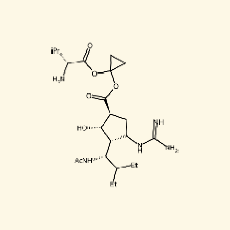 CCC(CC)[C@H](NC(C)=O)[C@H]1C(NC(=N)N)C[C@H](C(=O)OC2(OC(=O)[C@H](N)C(C)C)CC2)[C@H]1O